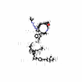 CO[C@@H](/C(C)=C/C=C/C(C)=C/c1coc(C)n1)[C@@H](C)[C@@H]1C[C@H](O[Si](C)(CCCS(=O)(=O)CCSCC(NC(=O)C(CC(=O)O)NC(=O)C(CCCNC(=N)N)NC(=O)CCC(NC(=O)c2ccc(NCc3cnc4nc(N)[nH]c(=O)c4n3)cc2)C(=O)O)C(=O)O)c2ccccc2)[C@@]2(C)O[C@@H]2/C=C/[C@@H](C)[C@H]2C[C@H](CC(=O)O2)C[C@@H]2O[C@H]2C(=O)O1